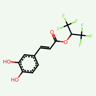 O=C(/C=C/c1ccc(O)c(O)c1)OC(C(F)(F)F)C(F)(F)F